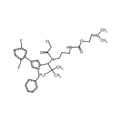 C[SiH](C)CCOC(=O)NCCCN(C(=O)CCl)C(c1cc(-c2cc(F)ccc2F)cn1Cc1ccccc1)C(C)(C)C